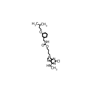 CNc1nc(Cl)nc2c1ncn2CCCCOC(=O)NCc1cccc(OCCC(C)C)c1